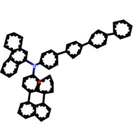 c1ccc(-c2ccc(-c3ccc(-c4ccc(N(c5ccc(-c6cccc7cccc(-c8ccccc8)c67)cc5)c5cc6ccccc6c6ccccc56)cc4)cc3)cc2)cc1